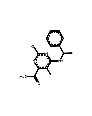 COC(=O)c1nc(Cl)nc(NC(C)c2ccccc2)c1Cl